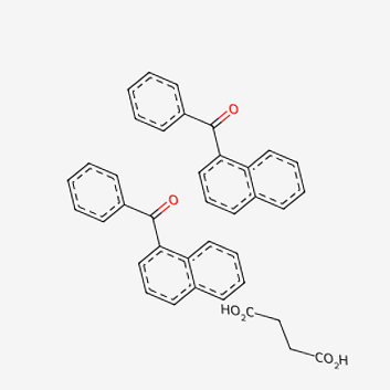 O=C(O)CCC(=O)O.O=C(c1ccccc1)c1cccc2ccccc12.O=C(c1ccccc1)c1cccc2ccccc12